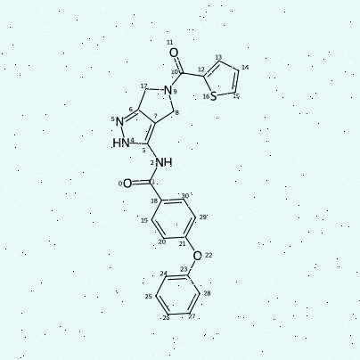 O=C(Nc1[nH]nc2c1CN(C(=O)c1cccs1)C2)c1ccc(Oc2ccccc2)cc1